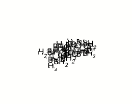 Bc1c(B)c(B)c(CS(=O)(=O)OC2=C(N)OC(c3c(B)c(B)c(C(F)(F)F)c(B)c3B)C2=O)c(B)c1B